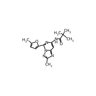 Cc1nc2cc(NC(=O)C(C)(C)C)nc(-c3ccc(C)o3)n2n1